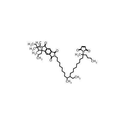 CCCCC(C)(CCCCCCCCC(CC)C(C)CCCCCCCCN1C(=O)c2cc3c(cc2C1=O)C(CCC)(C(C)C(C)(CC)CC)NC3=O)N1C(=O)C=CC1=O